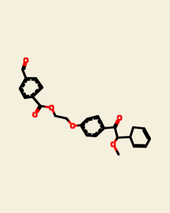 COC(C(=O)c1ccc(OCCOC(=O)c2ccc(C=O)cc2)cc1)C1C=CC=CC1